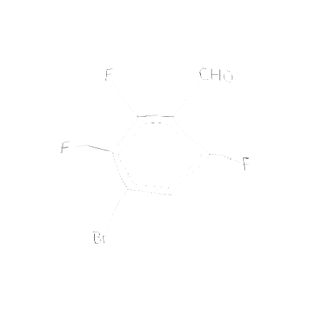 O=Cc1c(F)cc(Br)c(F)c1F